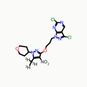 [2H]C([2H])([2H])c1c([N+](=O)[O-])c(OCCCn2nc(Cl)c3cnc(Cl)nc32)nn1C1CCOCC1